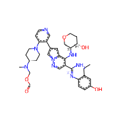 CCc1cc(O)ccc1/N=C(\N)c1cnn2cc(-c3cnccc3N3CCC(N(C)COC=O)CC3)cc2c1N[C@H]1COCC[C@@H]1O